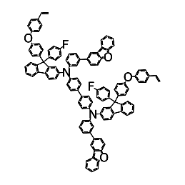 C=Cc1ccc(Oc2ccc(C3(c4ccc(F)cc4)c4ccccc4-c4ccc(N(c5ccc(-c6ccc(N(c7cccc(-c8ccc9oc%10ccccc%10c9c8)c7)c7ccc8c(c7)C(c7ccc(F)cc7)(c7ccc(Oc9ccc(C=C)cc9)cc7)c7ccccc7-8)cc6)cc5)c5cccc(-c6ccc7oc8ccccc8c7c6)c5)cc43)cc2)cc1